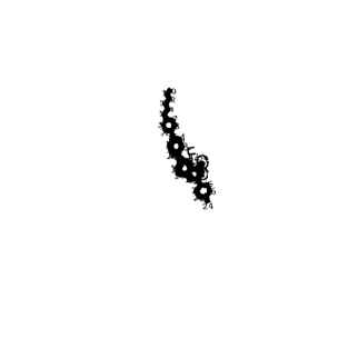 CCCCCCC1CCC(c2ccc(-c3ccc4cc(C5CCC(C)CC5)oc(=O)c4c3F)cc2)CC1